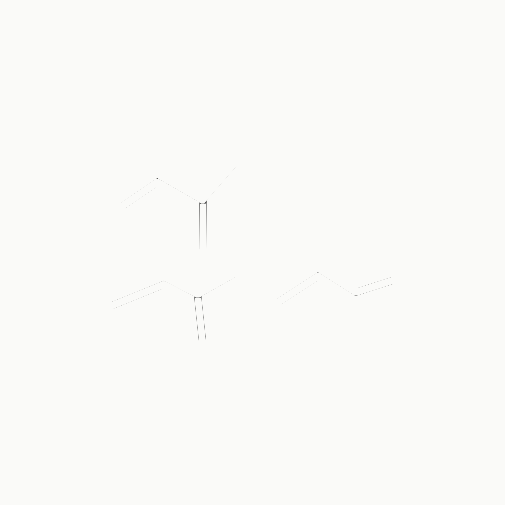 C=CC(=C)C.C=CC(=C)C.C=CC=C